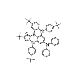 CC(C)(C)c1ccc(N2c3ccc(C(C)(C)C)cc3B3c4sc(C(C)(C)C)cc4N(c4ccc(C(C)(C)C)cc4)c4cc(N(c5ccccc5)c5ccccc5)cc2c43)cc1